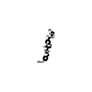 COc1ccc(Cn2nnc(-c3cnc4cc(C(=O)Nc5nc(C(C)C)cs5)ccn4c3=O)n2)cc1